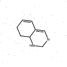 C1=CC2=C[N]CNC2CC1